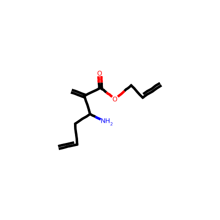 C=CCOC(=O)C(=C)C(N)CC=C